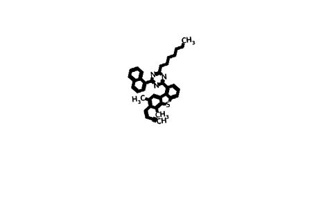 C#C/C=C\c1c(C)cc2c(sc3cccc(-c4nc(CCCCCCC)nc(-c5cccc6ccccc56)n4)c32)c1C